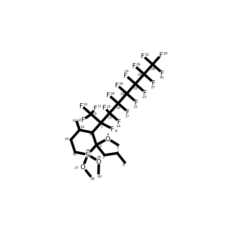 CCCC1(OC)C(C(F)(C(F)(F)F)C(F)(F)C(F)(F)C(F)(F)C(F)(F)C(F)(F)C(F)(F)F)C(C)CC[Si]1(OC)OC